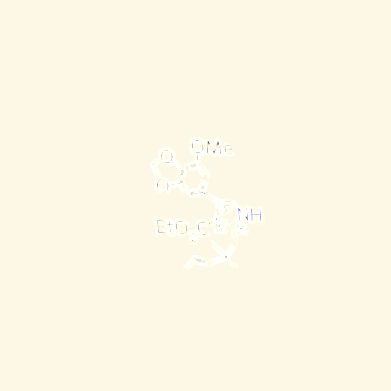 CC=CC(C)(C)C[C@H]1NC[C@H](c2cc(OC)c3c(c2)OCO3)[C@@H]1C(=O)OCC